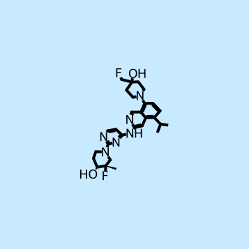 CC(C)c1ccc(N2CCC(O)(CF)CC2)c2cnc(Nc3ccnc(N4CC[C@@H](O)[C@@](C)(F)C4)n3)cc12